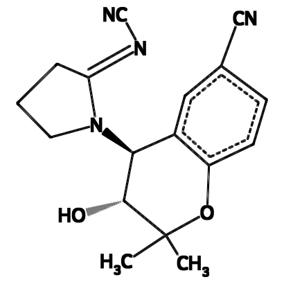 CC1(C)Oc2ccc(C#N)cc2[C@H](N2CCCC2=NC#N)[C@H]1O